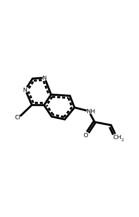 C=CC(=O)Nc1ccc2c(Cl)ncnc2c1